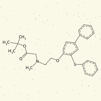 CN(CCOc1ccc(-c2ccccc2)cc1Sc1ccccc1)CC(=O)OC(C)(C)C